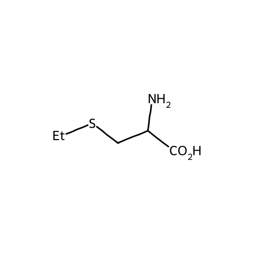 CCSCC(N)C(=O)O